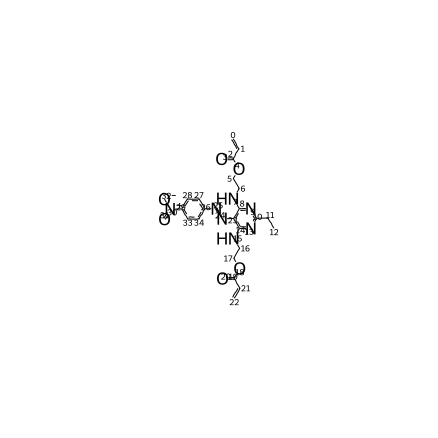 C=CC(=O)OCCNc1nc(CC)nc(NCCOC(=O)C=C)c1N=Nc1ccc([N+](=O)[O-])cc1